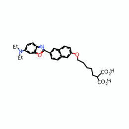 CCN(CC)c1ccc2nc(-c3ccc4cc(OCCCCCC(C(=O)O)C(=O)O)ccc4c3)oc2c1